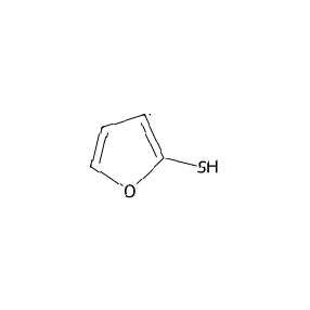 Sc1[c]cco1